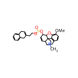 COc1ccc2c3c1OC1C(OS(=O)OCCC4=CCc5ccccc5C4)C=CC4C(C2)N(C)CCC341